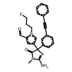 CN1C(=O)C(c2cccc(C#Cc3ccccc3)c2)(c2cc(C=O)n(CCCF)c2)N=C1N